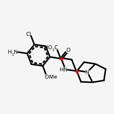 COc1cc(N)c(Cl)cc1C(=O)NC1CC2CCC(C1)N2CCCC(=O)O